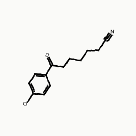 N#CCCCCCC(=O)c1ccc(Cl)cc1